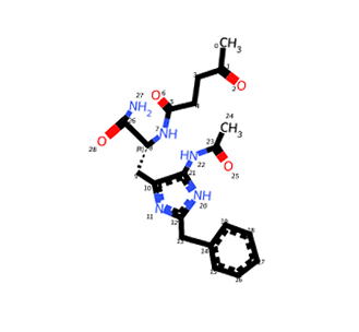 CC(=O)CCC(=O)N[C@H](Cc1nc(Cc2ccccc2)[nH]c1NC(C)=O)C(N)=O